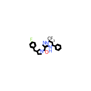 O=C(c1cnn2c1NC(c1ccccc1)CC2C(F)(F)F)N1CCC(Cc2ccc(F)cc2)C1